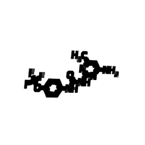 Cc1cc(N)nc(NC(=O)Nc2ccc(OC(F)(F)F)cc2)n1